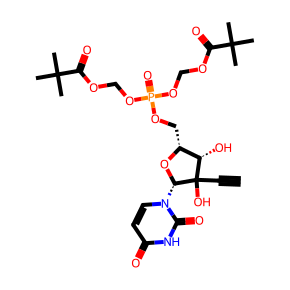 C#CC1(O)[C@@H](O)[C@@H](COP(=O)(OCOC(=O)C(C)(C)C)OCOC(=O)C(C)(C)C)O[C@H]1n1ccc(=O)[nH]c1=O